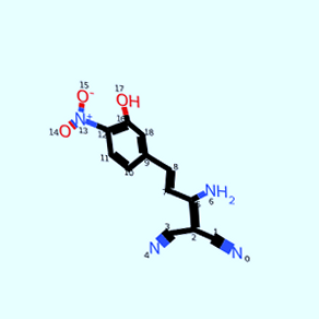 N#CC(C#N)=C(N)C=Cc1ccc([N+](=O)[O-])c(O)c1